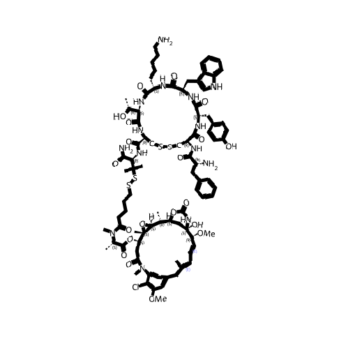 COc1cc2cc(c1Cl)N(C)C(=O)C[C@H](OC(=O)[C@H](C)N(C)C(=O)CCCCSSC(C)(C)[C@H](NC(=O)[C@@H]1CSSC[C@H](NC(=O)[C@H](N)Cc3ccccc3)C(=O)N[C@@H](Cc3ccc(O)cc3)C(=O)N[C@H](Cc3c[nH]c4ccccc34)C(=O)N[C@@H](CCCCCN)C(=O)N[C@@H]([C@@H](C)O)C(=O)N1)C(N)=O)[C@]1(C)O[C@H]1[C@H](C)[C@@H]1C[C@@](O)(NC(=O)O1)[C@H](OC)/C=C/C=C(\C)C2